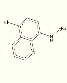 CC(C)(C)Nc1ccc(Cl)c2cccnc12